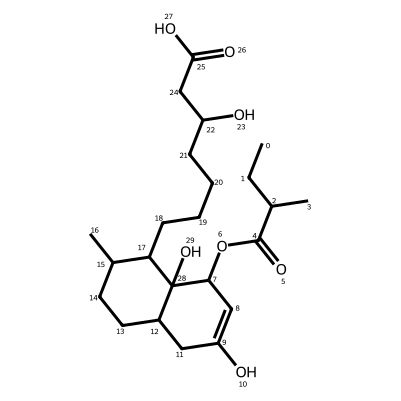 CCC(C)C(=O)OC1C=C(O)CC2CCC(C)C(CCCCC(O)CC(=O)O)C21O